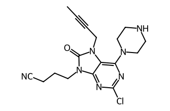 CC#CCn1c(=O)n(CCCC#N)c2nc(Cl)nc(N3CCNCC3)c21